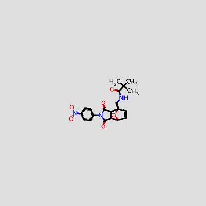 CC(C)(C)C(=O)NCC12C=CC(O1)C1C(=O)N(c3ccc([N+](=O)[O-])cc3)C(=O)C12